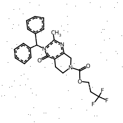 Cc1nc2c(c(=O)n1C(c1ccccc1)c1ccccc1)CCN(C(=O)OCCC(F)(F)F)C2